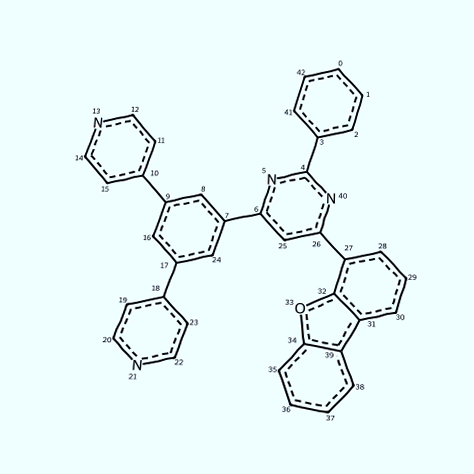 c1ccc(-c2nc(-c3cc(-c4ccncc4)cc(-c4ccncc4)c3)cc(-c3cccc4c3oc3ccccc34)n2)cc1